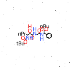 CCCCOC(=O)[C@@H](NC(=O)CNC(=O)C(O)C(CCC)NC(=O)OC(C)(C)C)c1ccccc1